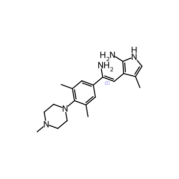 Cc1c[nH]c(N)c1/C=C(\N)c1cc(C)c(N2CCN(C)CC2)c(C)c1